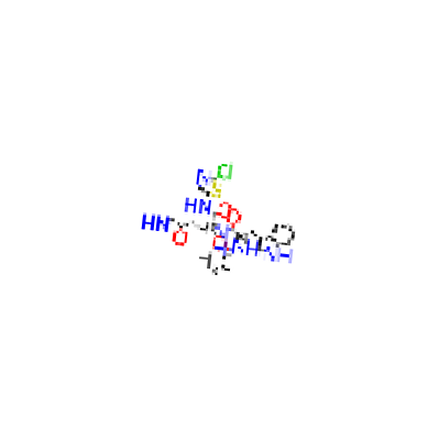 CC(=O)N[C@@H](Cc1c[nH]c2ccccc12)C(=O)N[C@@H](CCC(=O)C=N)C(=O)Nc1cnc(Cl)s1